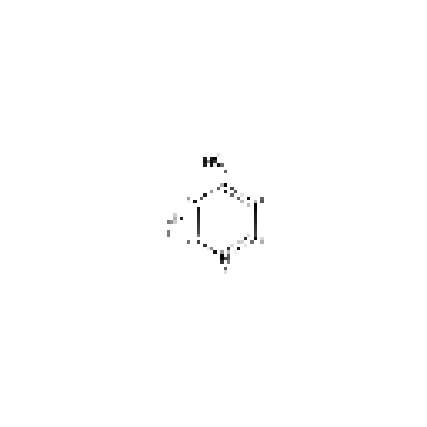 Cl.[F+2].c1ccncc1